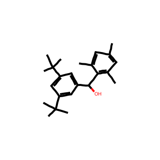 Cc1cc(C)c(C(O)c2cc(C(C)(C)C)cc(C(C)(C)C)c2)c(C)c1